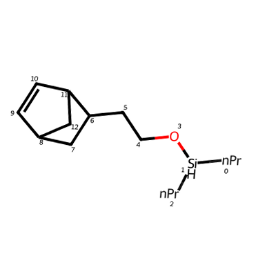 CCC[SiH](CCC)OCCC1CC2C=CC1C2